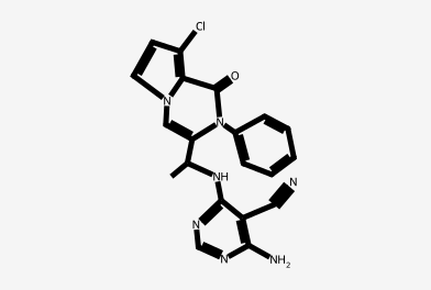 CC(Nc1ncnc(N)c1C#N)c1cn2ccc(Cl)c2c(=O)n1-c1ccccc1